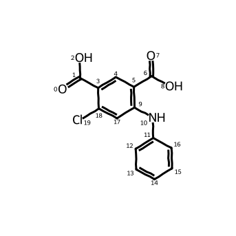 O=C(O)c1cc(C(=O)O)c(Nc2ccccc2)cc1Cl